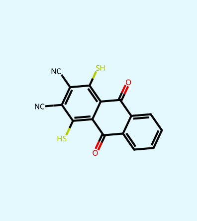 N#Cc1c(S)c2c(c(S)c1C#N)C(=O)c1ccccc1C2=O